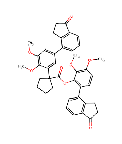 COc1[c]c(-c2cccc3c2CCC3=O)cc(C2(C(=O)Oc3c(-c4cccc5c4CCC5=O)ccc(OC)c3OC)CCCC2)c1OC